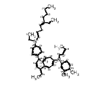 C=C/C(=C\C/C=C/N(CC)c1ccc(C(=C)/C=C\C(=C/C)C2=CC=C(N(C/C=C\C)c3ccc(C)c(C)c3)CC=C2)cc1)CCCC